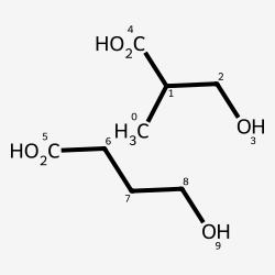 CC(CO)C(=O)O.O=C(O)CCCO